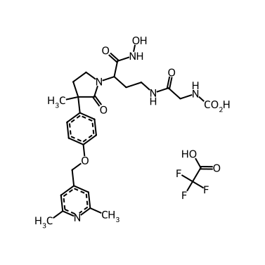 Cc1cc(COc2ccc(C3(C)CCN(C(CCNC(=O)CNC(=O)O)C(=O)NO)C3=O)cc2)cc(C)n1.O=C(O)C(F)(F)F